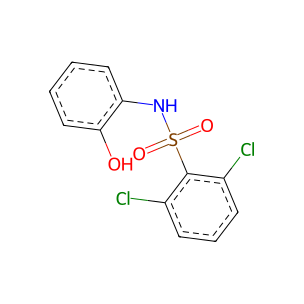 O=S(=O)(Nc1ccccc1O)c1c(Cl)cccc1Cl